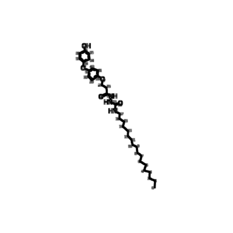 CCCCCCCCCCCCCCCCCCNC(=O)NNC(=O)CCOc1ccc(Oc2ccc(O)cc2)cc1